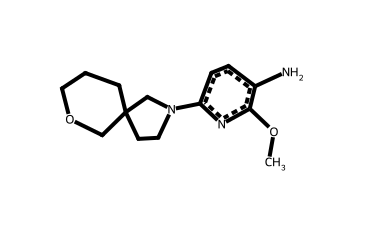 COc1nc(N2CCC3(CCCOC3)C2)ccc1N